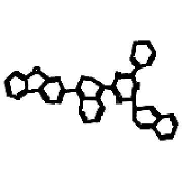 C1=CC(c2nc(C3=c4ccccc4=C(c4ccc5c(c4)oc4ccccc45)CC3)nc(C3C=c4ccccc4=CC3)n2)=CCC1